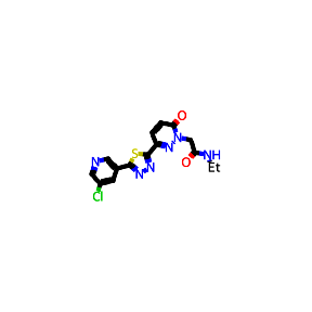 CCNC(=O)Cn1nc(-c2nnc(-c3cncc(Cl)c3)s2)ccc1=O